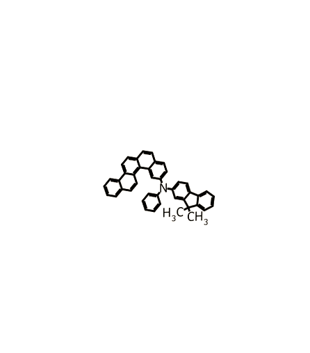 CC1(C)c2ccccc2-c2ccc(N(c3ccccc3)c3ccc4ccc5ccc6c7ccccc7ccc6c5c4c3)cc21